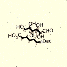 CCCCCCCCCCCCCCCC(=O)O.O=C[C@H](O)[C@@H](O)[C@H](O)[C@H](O)CO